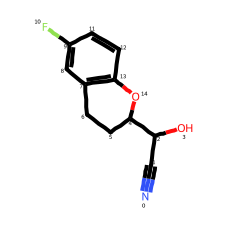 N#CC(O)C1CCc2cc(F)ccc2O1